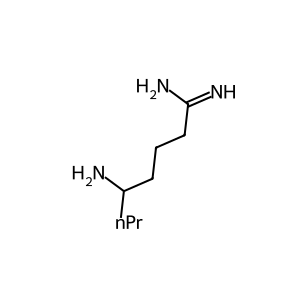 [CH2]CCC(N)CCCC(=N)N